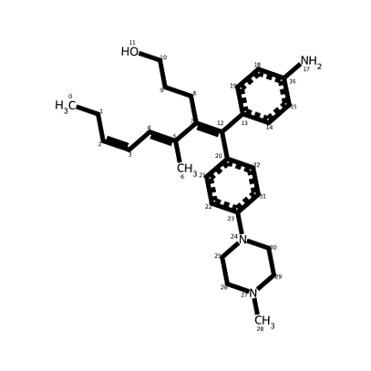 CC\C=C/C=C(C)/C(CCCO)=C(/c1ccc(N)cc1)c1ccc(N2CCN(C)CC2)cc1